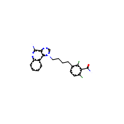 NC(=O)c1c(Cl)ccc(CCCCn2cnc3c(N)nc4ccccc4c32)c1Cl